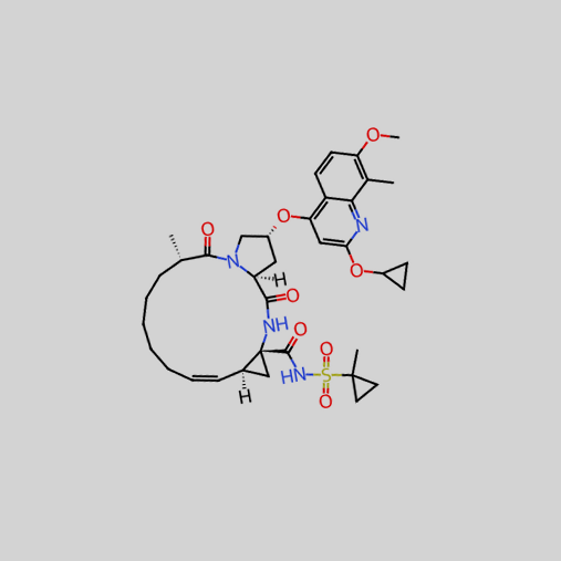 COc1ccc2c(O[C@@H]3C[C@H]4C(=O)N[C@]5(C(=O)NS(=O)(=O)C6(C)CC6)C[C@H]5/C=C\CCCCC[C@H](C)C(=O)N4C3)cc(OC3CC3)nc2c1C